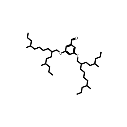 CCCC(C)CCCCC(CCC(C)CCC)COc1cc(C=O)cc(OCC(CCCCC(C)CCC)CCC(C)CCC)c1